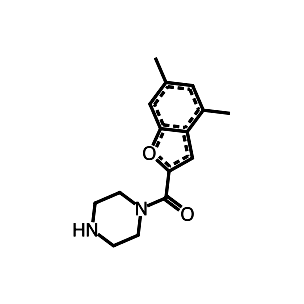 Cc1cc(C)c2cc(C(=O)N3CCNCC3)oc2c1